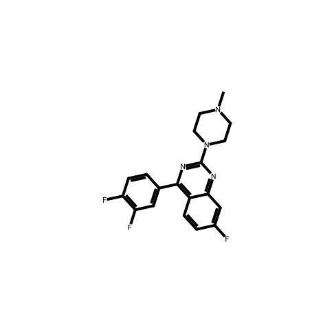 CN1CCN(c2nc(-c3ccc(F)c(F)c3)c3ccc(F)cc3n2)CC1